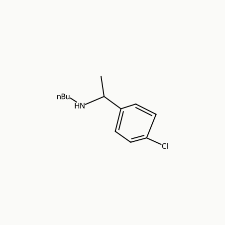 CCCCNC(C)c1ccc(Cl)cc1